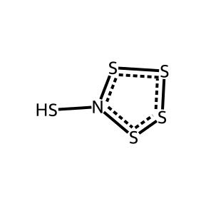 Sn1ssss1